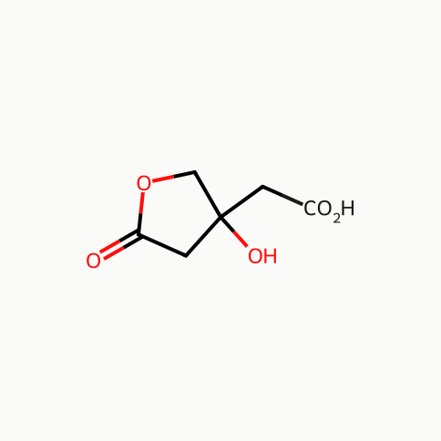 O=C(O)CC1(O)COC(=O)C1